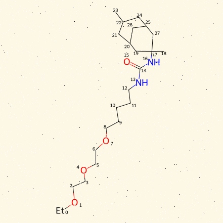 CCOCCOCCOCCCCCNC(=O)NC1(C)CC2CC(C)CC(C2)C1